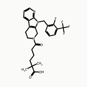 CC(C)(CCCC(=O)N1CCc2c(n(Cc3cccc(C(F)(F)F)c3F)c3ncccc23)C1)C(=O)O